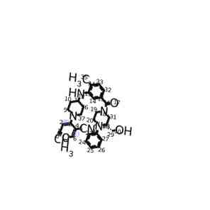 C#C/C=C(\C(C#N)=C/C)N1CCC(Nc2cc(C(=O)N3CCN(c4ccccc4)[C@@H](CO)C3)ccc2C)CC1